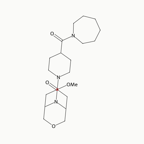 COC(=O)N1C2COCC1CC(N1CCC(C(=O)N3CCCCCC3)CC1)C2